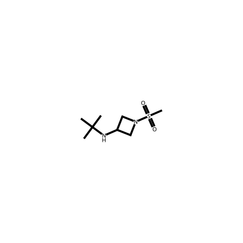 CC(C)(C)NC1CN(S(C)(=O)=O)C1